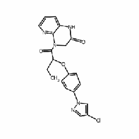 CCC(Oc1ccc(-n2cc(Cl)cn2)cc1)C(=O)N1CC(=O)Nc2cccnc21